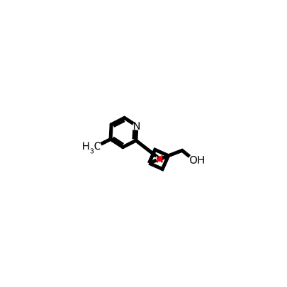 Cc1ccnc(N2CC3(CO)CC2C3)c1